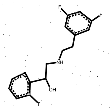 OC(CNCCc1cc(F)cc(F)c1)c1ccccc1F